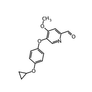 COc1cc(C=O)ncc1Oc1ccc(OC2CC2)cc1